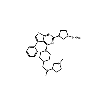 CC(=O)NC1CCN(c2nc(N3CCC(CN(C)C4CCN(C)C4)CC3)c3c(-c4ccccc4)csc3n2)C1